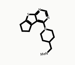 CNCC1CCN(c2ncnc3sc4c(c23)CCC4)CC1